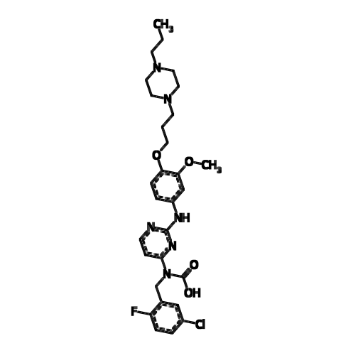 CCCN1CCN(CCCOc2ccc(Nc3nccc(N(Cc4cc(Cl)ccc4F)C(=O)O)n3)cc2OC)CC1